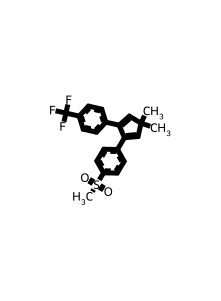 CC1(C)C=C(c2ccc(C(F)(F)F)cc2)C(c2ccc(S(C)(=O)=O)cc2)=C1